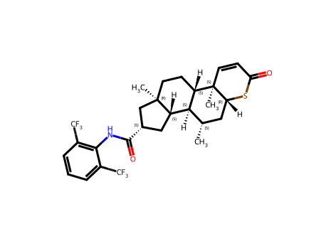 C[C@H]1C[C@H]2SC(=O)C=C[C@]2(C)[C@H]2CC[C@]3(C)C[C@@H](C(=O)Nc4c(C(F)(F)F)cccc4C(F)(F)F)C[C@H]3[C@H]12